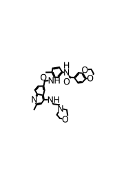 Cc1cc(NCCN2CCOCC2)c2cc(C(=O)Nc3cc(NC(=O)c4ccc5c(c4)OCCO5)ccc3C)ccc2n1